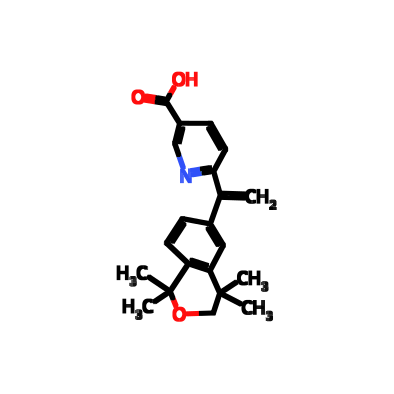 C=C(c1ccc2c(c1)C(C)(C)COC2(C)C)c1ccc(C(=O)O)cn1